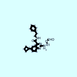 CCOC=O.Nc1nc(C(=O)NCCc2ccccc2)c2cc(C3CCC3)ccc2n1